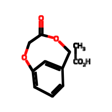 CC(=O)O.O=C1COc2cccc(c2)CO1